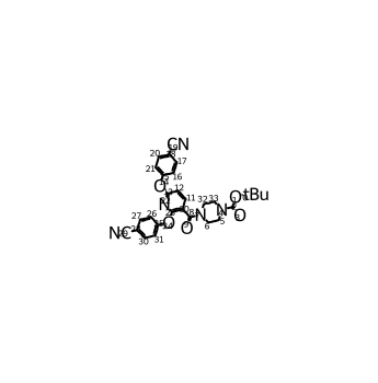 CC(C)(C)OC(=O)N1CCN(C(=O)c2ccc(Oc3ccc(C#N)cc3)nc2Oc2ccc(C#N)cc2)CC1